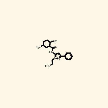 CC1CCC(C(C)C)C(C(=O)Nc2cc(-c3ccccc3)nn2CCN)C1